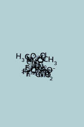 Cc1ccc(NC(=O)N(C)C)cc1Cl.Nc1c([N+](=O)[O-])cnn1-c1c(Cl)cc(C(F)(F)F)cc1Cl